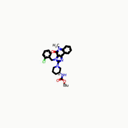 Cn1c(=O)c2c(nc(N3CCC[C@@H](NC(=O)OC(C)(C)C)C3)n2Cc2ccccc2Cl)c2ccccc21